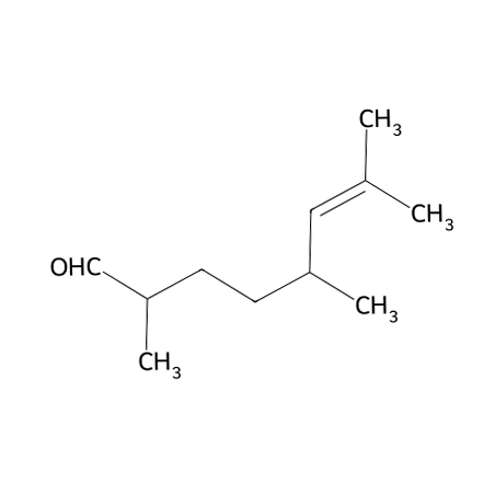 CC(C)=CC(C)CCC(C)C=O